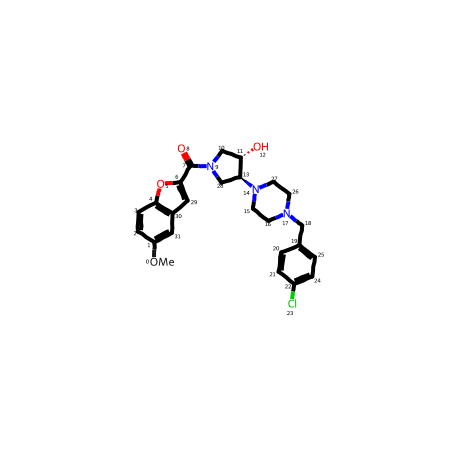 COc1ccc2oc(C(=O)N3C[C@H](O)[C@@H](N4CCN(Cc5ccc(Cl)cc5)CC4)C3)cc2c1